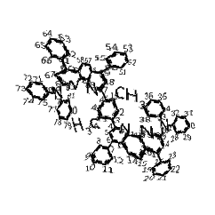 Cc1cc(-c2cc(-c3ccccc3)c3ccc4c(-c5ccccc5)cc(N(c5ccccc5)c5ccccc5)nc4c3n2)c(C)cc1-c1cc(-c2ccccc2)c2ccc3c(-c4ccccc4)cc(N(c4ccccc4)c4ccccc4)nc3c2n1